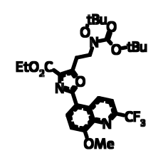 CCOC(=O)c1nc(-c2ccc(OC)c3nc(C(F)(F)F)ccc23)oc1CCN(OC(C)(C)C)C(=O)OC(C)(C)C